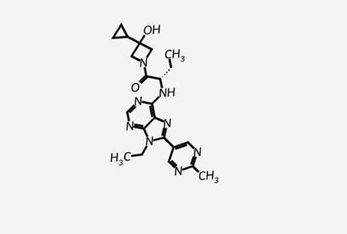 CC[C@H](Nc1ncnc2c1nc(-c1cnc(C)nc1)n2CC)C(=O)N1CC(O)(C2CC2)C1